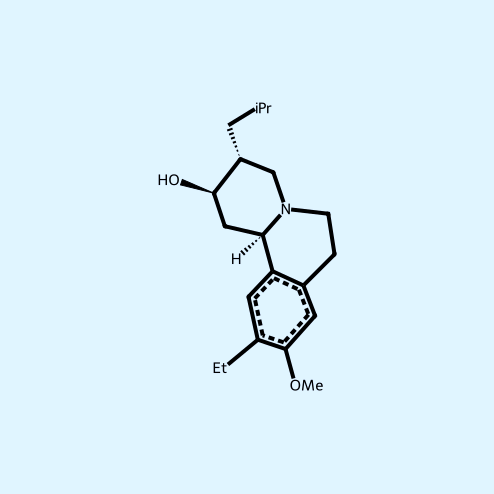 CCc1cc2c(cc1OC)CCN1C[C@@H](CC(C)C)[C@H](O)C[C@H]21